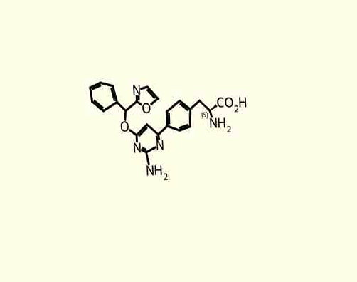 Nc1nc(OC(c2ccccc2)c2ncco2)cc(-c2ccc(C[C@H](N)C(=O)O)cc2)n1